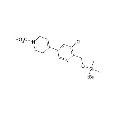 CC(C)(C)[Si](C)(C)OCc1ncc(C2=CCN(C(=O)O)CC2)cc1Cl